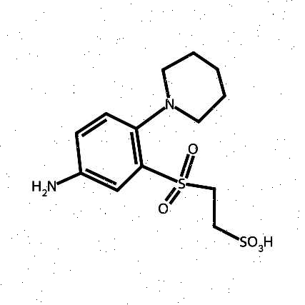 Nc1ccc(N2CCCCC2)c(S(=O)(=O)CCS(=O)(=O)O)c1